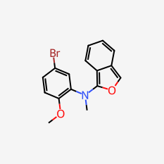 COc1ccc(Br)cc1N(C)c1occ2ccccc12